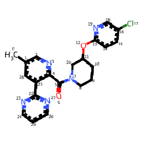 Cc1cnc(C(=O)N2CCCC(Oc3ccc(Cl)cn3)C2)c(-c2ncccn2)c1